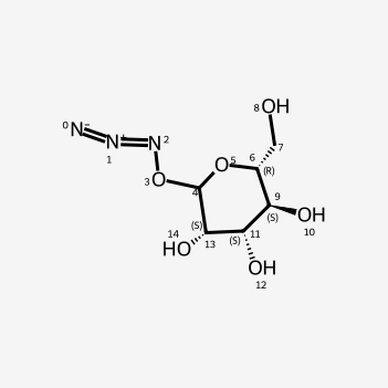 [N-]=[N+]=NOC1O[C@H](CO)[C@@H](O)[C@H](O)[C@@H]1O